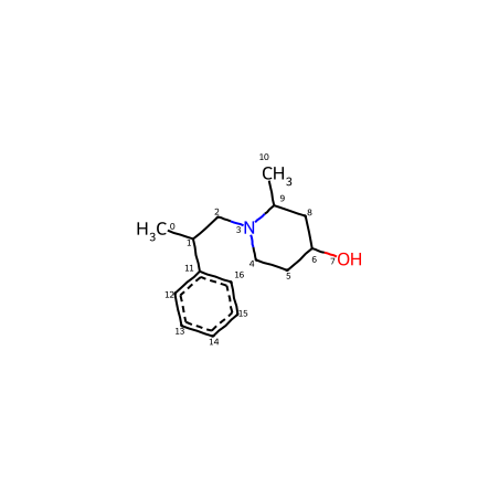 CC(CN1CCC(O)CC1C)c1ccccc1